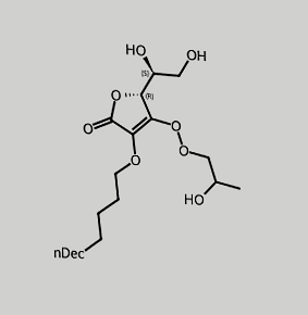 CCCCCCCCCCCCCCOC1=C(OOCC(C)O)[C@@H]([C@@H](O)CO)OC1=O